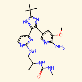 CNC(=O)NC(C)CNc1nccc(-c2[nH]c(C(C)(C)C)nc2-c2cnc(N)c(OC)c2)n1